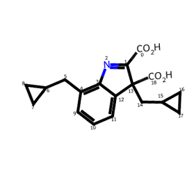 O=C(O)C1=Nc2c(CC3CC3)cccc2C1(CC1CC1)C(=O)O